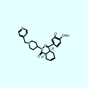 COc1ccc(C2=NN(C3CCN(Cc4ccncc4)CC3)C(=O)[C@@H]3CC=CC[C@H]23)cc1Cl